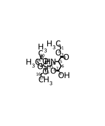 CCOC(=O)C(CC(=O)O)NC[Si](OC)(OCC)OCC